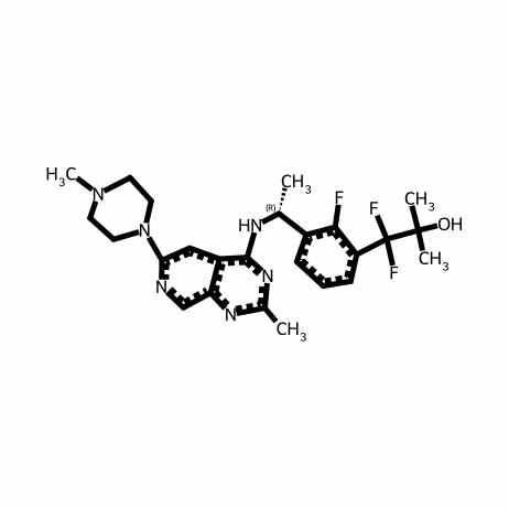 Cc1nc(N[C@H](C)c2cccc(C(F)(F)C(C)(C)O)c2F)c2cc(N3CCN(C)CC3)ncc2n1